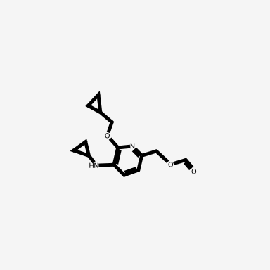 O=COCc1ccc(NC2CC2)c(OCC2CC2)n1